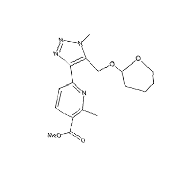 COC(=O)c1ccc(-c2nnn(C)c2COC2CCCCO2)nc1C